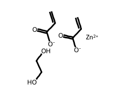 C=CC(=O)[O-].C=CC(=O)[O-].OCCO.[Zn+2]